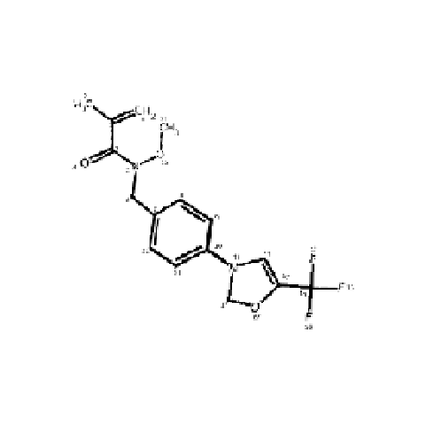 C=C(C)C(=O)N(Cc1ccc(N2C=C(C(F)(F)F)OC2)cc1)OC